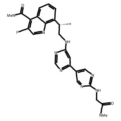 CNC(=O)CNc1ncc(-c2cc(NC[C@@H](C)c3cccc4c(C(=O)NC)c(F)cnc34)ncn2)cn1